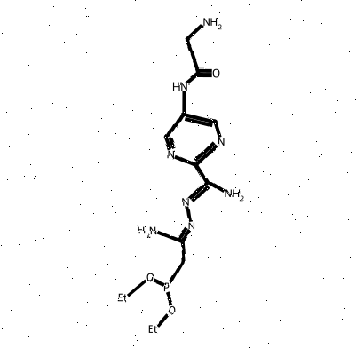 CCOP(C/C(N)=N/N=C(\N)c1ncc(NC(=O)CN)cn1)OCC